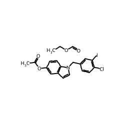 CC(=O)Oc1ccc2c(ccn2Cc2ccc(Cl)c(I)c2)c1.CCOC=O